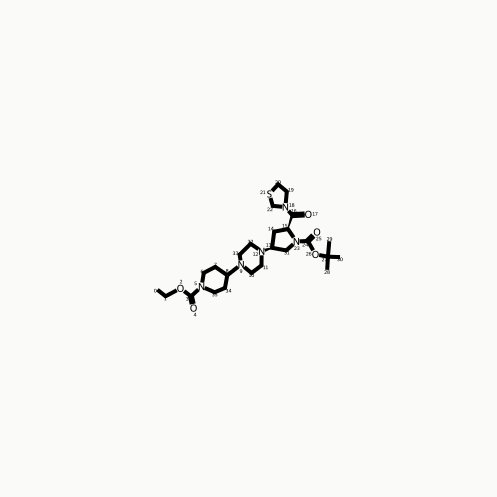 CCOC(=O)N1CCC(N2CCN([C@H]3C[C@@H](C(=O)N4CCSC4)N(C(=O)OC(C)(C)C)C3)CC2)CC1